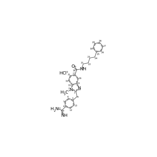 Cl.Cn1c(Cc2ccc(C(=N)N)cc2)nc2cc(C(=O)NCCCCc3ccccc3)ccc21